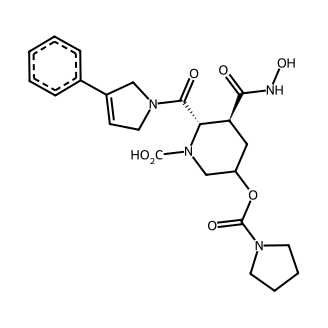 O=C(NO)[C@H]1CC(OC(=O)N2CCCC2)CN(C(=O)O)[C@@H]1C(=O)N1CC=C(c2ccccc2)C1